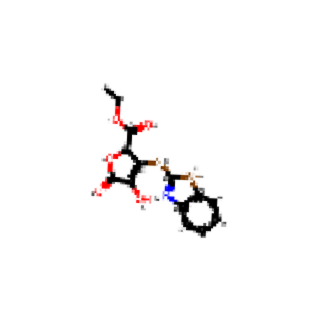 CCOC(=O)C1OC(=O)C(O)=C1SC1=Nc2ccccc2[SH]1